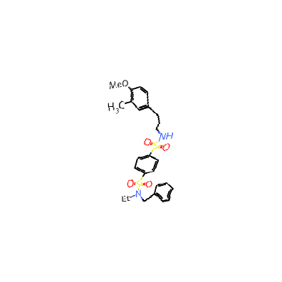 CCN(Cc1ccccc1)S(=O)(=O)c1ccc(S(=O)(=O)NCCc2ccc(OC)c(C)c2)cc1